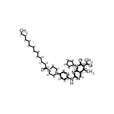 CCCCCCCCCCCCCC(=O)N1CCN(c2ccc(Nc3ncc4c(C)c(C(C)=O)c(=O)n(C5CCCC5)c4n3)nc2)CC1